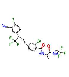 C[C@@H](NC(=O)c1ccc(/C=C/C(c2ccc(F)c(C#N)c2)C(F)(F)F)cc1Br)C(=O)NCC(F)(F)F